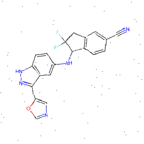 N#Cc1ccc2c(c1)CC(F)(F)C2Nc1ccc2[nH]nc(-c3cnco3)c2c1